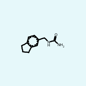 NC(=O)NCc1ccc2c(c1)CCC2